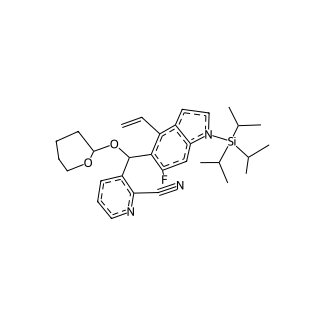 C=Cc1c(C(OC2CCCCO2)c2cccnc2C#N)c(F)cc2c1ccn2[Si](C(C)C)(C(C)C)C(C)C